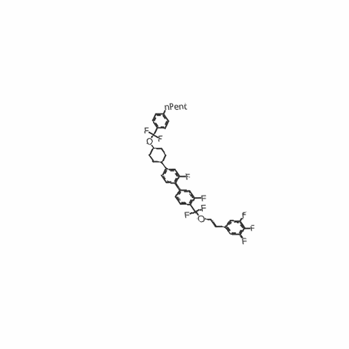 CCCCCc1ccc(C(F)(F)OC2CCC(c3ccc(-c4ccc(C(F)(F)OCCc5cc(F)c(F)c(F)c5)c(F)c4)c(F)c3)CC2)cc1